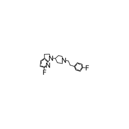 Fc1ccc(CCN2CCC(N3CCc4ccc(F)nc43)CC2)cc1